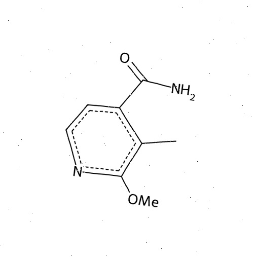 COc1nccc(C(N)=O)c1C